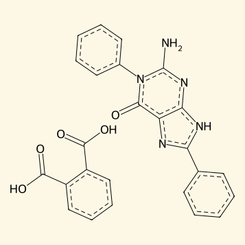 Nc1nc2[nH]c(-c3ccccc3)nc2c(=O)n1-c1ccccc1.O=C(O)c1ccccc1C(=O)O